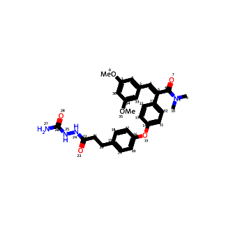 COc1cc(C=C(C(=O)N(C)C)c2ccc(Oc3ccc(CCC(=O)NNC(N)=O)cc3)cc2)cc(OC)c1